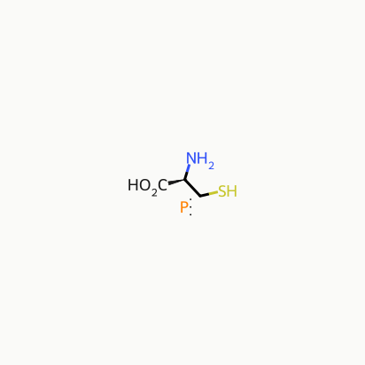 N[C@@H](CS)C(=O)O.[P]